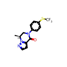 C[C@H]1CN(c2ccc(SC(F)(F)F)cc2)C(=O)c2ccnn21